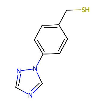 SCc1ccc(-n2cncn2)cc1